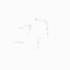 Cc1nn2c(c1C)C(C)(C)C(C)(C)N(C)C2(C)C